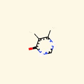 CSc1nc[nH]c(=O)c1C#N